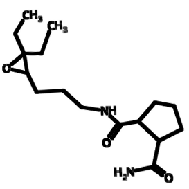 CCC1(CC)OC1CCCNC(=O)C1CCCC1C(N)=O